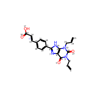 C=CCn1c(=O)c2nc(-c3ccc(/C=C/C(=O)O)cc3)[nH]c2n(CC=C)c1=O